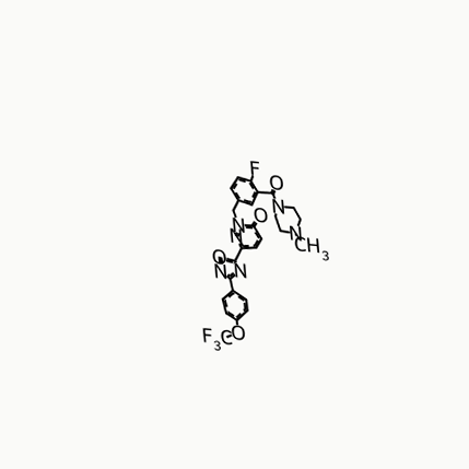 CN1CCN(C(=O)c2cc(Cn3nc(-c4nc(-c5ccc(OC(F)(F)F)cc5)no4)ccc3=O)ccc2F)CC1